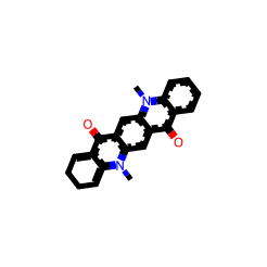 Cn1c2c(c(=O)c3cc4c(cc31)c(=O)c1ccccc1n4C)=CCCC=2